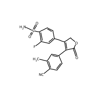 Cc1cc(C2=C(c3ccc(S(N)(=O)=O)c(F)c3)COC2=O)ccc1C#N